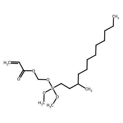 C=CC(=O)OCO[Si](CCC(C)CCCCCCCCC)(OC)OC